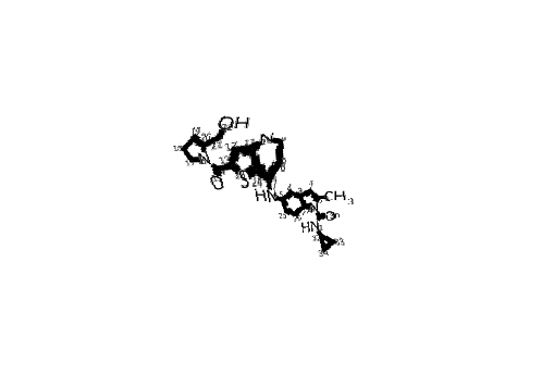 Cc1cc2cc(Nc3ccnc4cc(C(=O)N5CCCC5CO)sc34)ccc2n1C(=O)NC1CC1